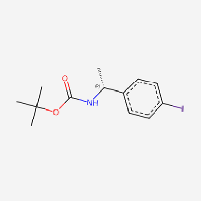 C[C@@H](NC(=O)OC(C)(C)C)c1ccc(I)cc1